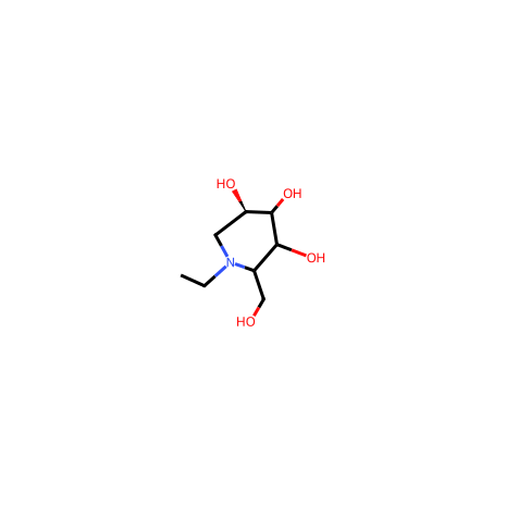 CCN1C[C@@H](O)C(O)C(O)C1CO